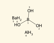 OB(O)O.[AlH3].[BaH2]